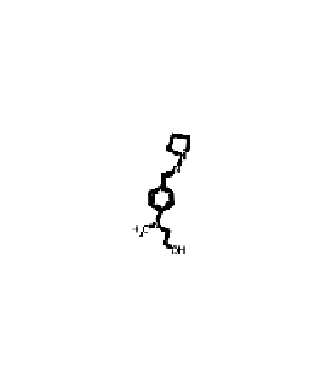 CN(CCO)c1ccc(C=NN2CCCC2)cc1